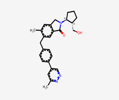 Cc1cc(-c2ccc(Cc3cc4c(cc3C)CN([C@H]3CCC[C@@H]3CO)C4=O)cc2)cnn1